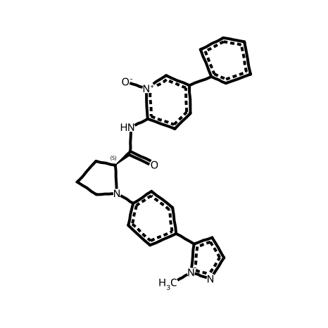 Cn1nccc1-c1ccc(N2CCC[C@H]2C(=O)Nc2ccc(-c3ccccc3)c[n+]2[O-])cc1